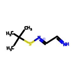 CC(C)(C)S/N=C/C=N